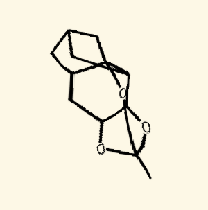 CC12OC3CC4CC5CC(C3O1)C4(C5)O2